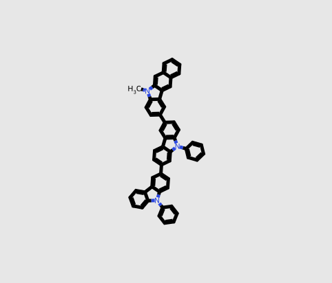 Cn1c2ccc(-c3ccc4c(c3)c3ccc(-c5ccc6c(c5)c5ccccc5n6-c5ccccc5)cc3n4-c3ccccc3)cc2c2cc3ccccc3cc21